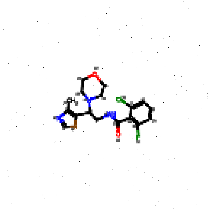 Cc1ncsc1C(CNC(=O)c1c(F)cccc1Cl)N1CCOCC1